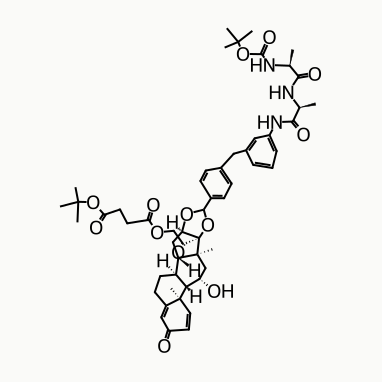 C[C@H](NC(=O)OC(C)(C)C)C(=O)N[C@@H](C)C(=O)Nc1cccc(Cc2ccc(C3O[C@@H]4C[C@H]5[C@@H]6CCC7=CC(=O)C=C[C@]7(C)[C@H]6[C@@H](O)C[C@]5(C)[C@]4(C(=O)COC(=O)CCC(=O)OC(C)(C)C)O3)cc2)c1